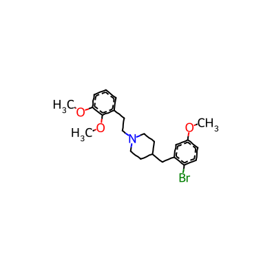 COc1ccc(Br)c(CC2CCN(CCc3cccc(OC)c3OC)CC2)c1